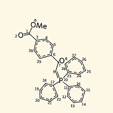 COC(=O)c1ccc(C(=O)C=P(c2ccccc2)(c2ccccc2)c2ccccc2)cc1